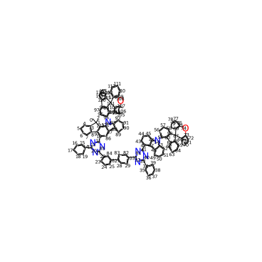 CC1(C)c2ccccc2-c2c(-c3nc(-c4ccccc4)nc(-c4cccc(-c5ccc(-c6nc(-c7ccccc7)nc(-c7cccc8c7c7ccccc7n8-c7cccc8c7-c7ccccc7C87c8ccccc8Oc8ccccc87)n6)cc5)c4)n3)cc3c4ccccc4n(-c4ccc5c(c4)C4(c6ccccc6Oc6ccccc64)c4ccccc4-5)c3c21